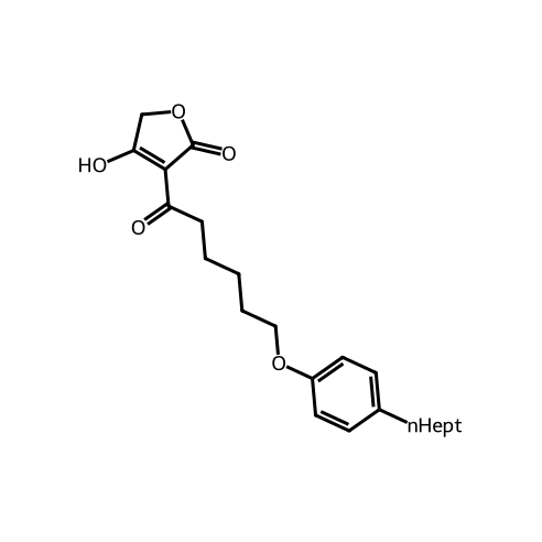 CCCCCCCc1ccc(OCCCCCC(=O)C2=C(O)COC2=O)cc1